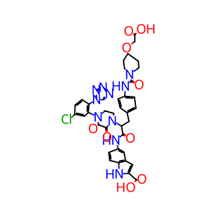 O=C(O)COC1CCN(C(=O)Nc2ccc(CC(C(=O)Nc3ccc4[nH]c(C(=O)O)cc4c3)N3CCN(c4cc(Cl)ccc4-n4cnnn4)C(=O)C3=O)cc2)CC1